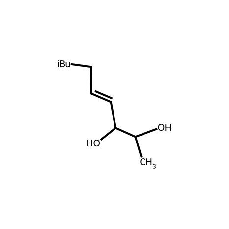 CCC(C)CC=CC(O)C(C)O